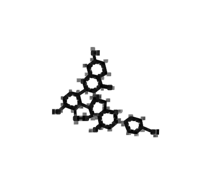 O=c1cc(-c2ccc(O)c(O)c2-c2c(O)cc3oc(-c4ccc(O)cc4)cc(=O)c3c2O)oc2cc(O)ccc12